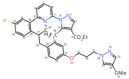 CCOC(=O)c1cnn(-c2cccc(-c3cc(F)ccc3C(C)Cc3ccc(OCCCn4cc(OC)cn4)cc3)n2)c1C(F)(F)F